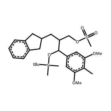 COc1cc(C(O[Si](C)(C)C(C)(C)C)C(COS(C)(=O)=O)CC2Cc3ccccc3C2)cc(OC)c1C